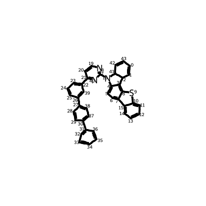 C1=CC2c3c(ccc4c3sc3ccccc34)N(c3nccc(-c4cccc(-c5ccc(-c6ccccc6)cc5)c4)n3)C2C=C1